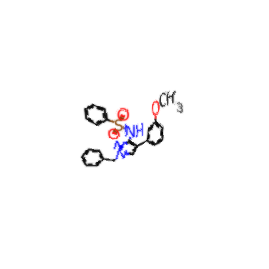 COc1cccc(-c2cn(Cc3ccccc3)nc2NS(=O)(=O)c2ccccc2)c1